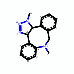 CN1Cc2ccccc2C2C(N=NN2C)c2ccccc21